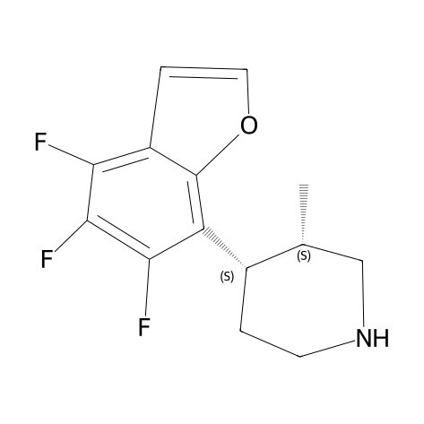 C[C@@H]1CNCC[C@@H]1c1c(F)c(F)c(F)c2ccoc12